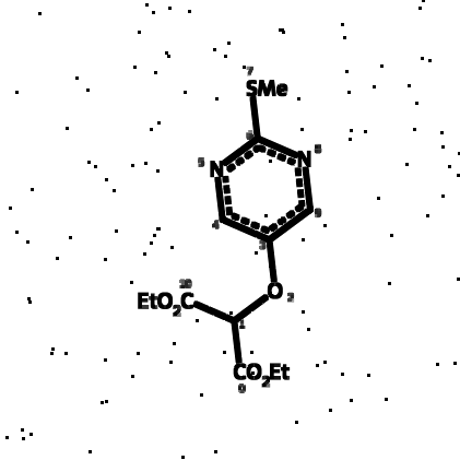 CCOC(=O)C(Oc1cnc(SC)nc1)C(=O)OCC